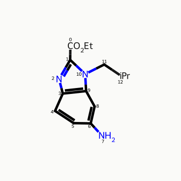 CCOC(=O)c1nc2ccc(N)cc2n1CC(C)C